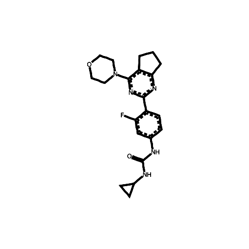 O=C(Nc1ccc(-c2nc3c(c(N4CCOCC4)n2)CCC3)c(F)c1)NC1CC1